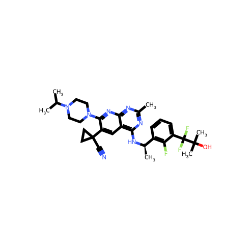 Cc1nc(N[C@H](C)c2cccc(C(F)(F)C(C)(C)O)c2F)c2cc(C3(C#N)CC3)c(N3CCN(C(C)C)CC3)nc2n1